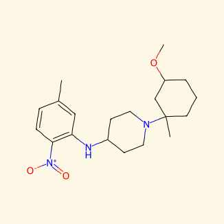 COC1CCCC(C)(N2CCC(Nc3cc(C)ccc3[N+](=O)[O-])CC2)C1